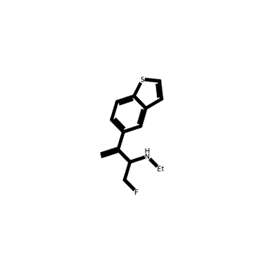 C=C(c1ccc2sccc2c1)C(CF)NCC